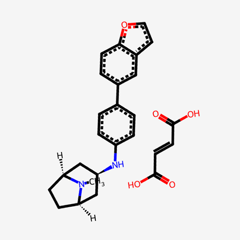 CN1[C@@H]2CC[C@H]1C[C@@H](Nc1ccc(-c3ccc4occc4c3)cc1)C2.O=C(O)/C=C/C(=O)O